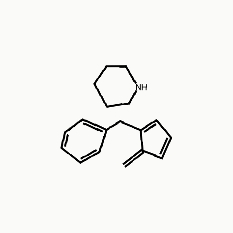 C1CCNCC1.C=C1C=CC=C1Cc1ccccc1